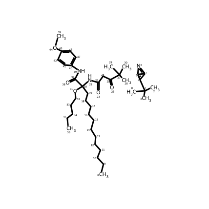 CC(C)(C)C1=C2N=C21.CCCCCCCCCCCCC(NC(=O)CC(=O)C(C)(C)C)(OCCCCC)C(=O)Nc1ccc(OC)cc1